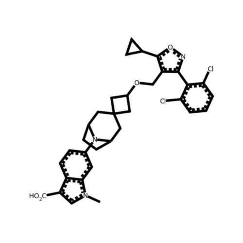 Cn1cc(C(=O)O)c2ccc(N3C4CCC3CC3(CC(OCc5c(-c6c(Cl)cccc6Cl)noc5C5CC5)C3)C4)cc21